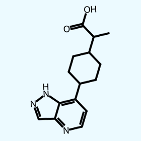 CC(C(=O)O)C1CCC(c2ccnc3cn[nH]c23)CC1